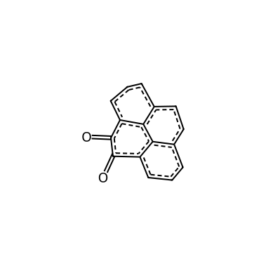 O=c1c(=O)c2cccc3ccc4cccc1c4c32